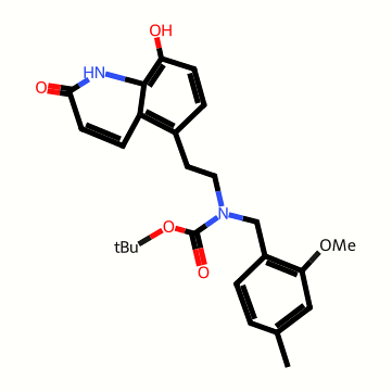 COc1cc(C)ccc1CN(CCc1ccc(O)c2[nH]c(=O)ccc12)C(=O)OC(C)(C)C